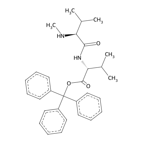 CN[C@H](C(=O)N[C@@H](C(=O)OC(c1ccccc1)(c1ccccc1)c1ccccc1)C(C)C)C(C)C